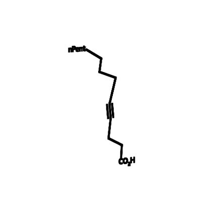 CCCCCCCCC#CCCC(=O)O